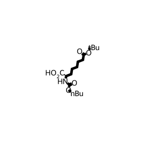 CCCCOC(=O)N[C@@H](CCCCCC(=O)OC(C)(C)C)C(=O)O